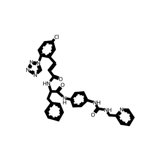 O=C(C=Cc1cc(Cl)ccc1-n1cnnn1)NC(Cc1ccccc1)C(=O)Nc1ccc(NC(=O)NCc2ccccn2)cc1